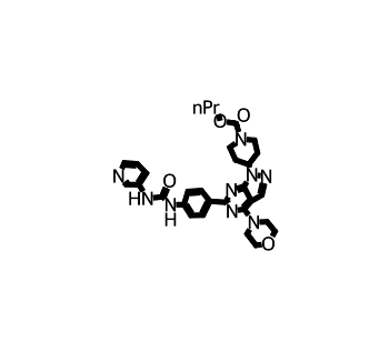 CCCOC(=O)N1CCC(n2ncc3c(N4CCOCC4)nc(-c4ccc(NC(=O)Nc5cccnc5)cc4)nc32)CC1